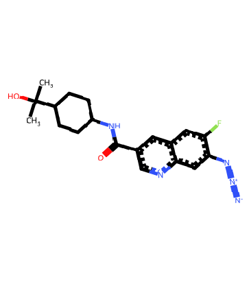 CC(C)(O)C1CCC(NC(=O)c2cnc3cc(N=[N+]=[N-])c(F)cc3c2)CC1